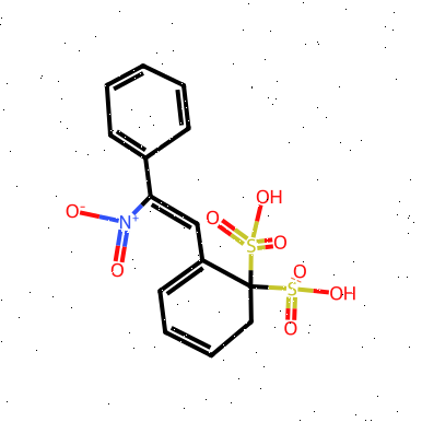 O=[N+]([O-])C(=CC1=CC=CCC1(S(=O)(=O)O)S(=O)(=O)O)c1ccccc1